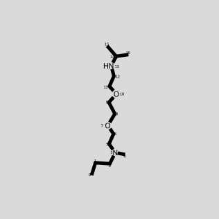 CCCN(C)CCOCCOCCNC(C)C